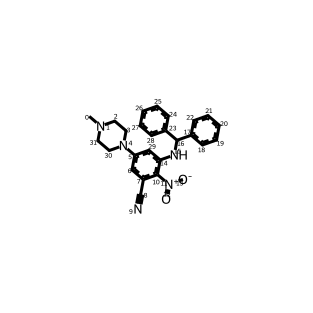 CN1CCN(c2cc(C#N)c([N+](=O)[O-])c(NC(c3ccccc3)c3ccccc3)c2)CC1